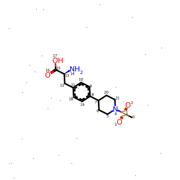 CS(=O)(=O)N1CCC(c2ccc(C[C@H](N)C(=O)O)cc2)CC1